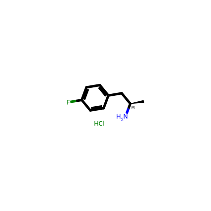 C[C@@H](N)Cc1ccc(F)cc1.Cl